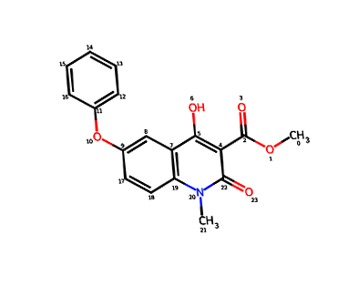 COC(=O)c1c(O)c2cc(Oc3ccccc3)ccc2n(C)c1=O